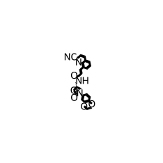 N#Cc1ccc2cccc(C=CC(=O)NC[C@@H]3CN(c4ccc5c(c4)OCCO5)C(=O)O3)c2n1